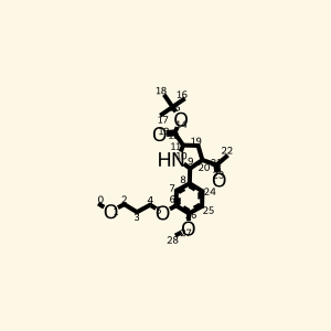 COCCCOc1cc(C2NC(C(=O)OC(C)(C)C)CC2C(C)=O)ccc1OC